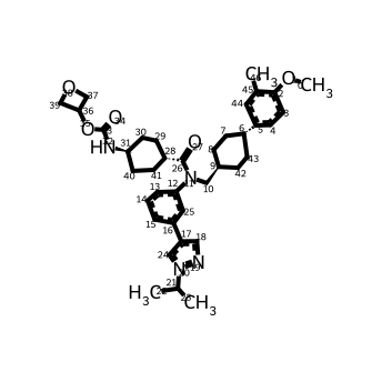 COc1ccc([C@H]2CC[C@H](CN(c3cccc(-c4cnn(C(C)C)c4)c3)C(=O)[C@H]3CC[C@H](NC(=O)OC4COC4)CC3)CC2)cc1C